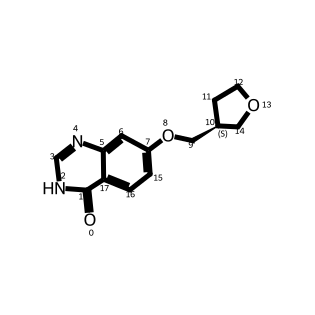 O=c1[nH]cnc2cc(OC[C@H]3CCOC3)ccc12